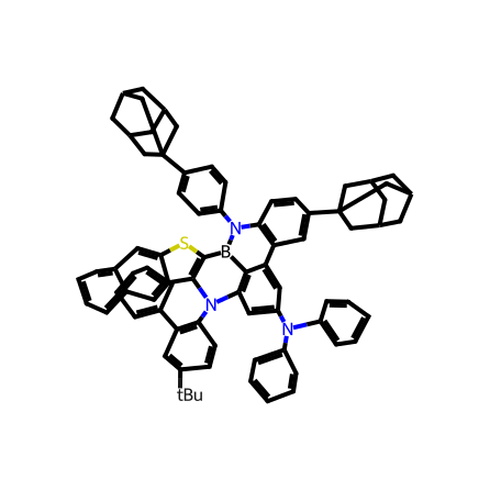 CC(C)(C)c1ccc(N2c3cc(N(c4ccccc4)c4ccccc4)cc4c3B(c3sc5cc6ccccc6cc5c32)N(c2ccc(C35CC6CC(CC(C6)C3)C5)cc2)c2ccc(C35CC6CC(CC(C6)C3)C5)cc2-4)c(-c2ccccc2)c1